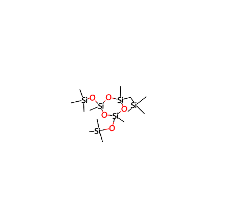 C[Si](C)(C)C[Si]1(C)O[Si](C)(O[Si](C)(C)C)O[Si](C)(O[Si](C)(C)C)O1